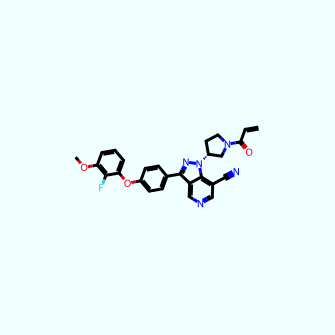 C=CC(=O)N1CC[C@@H](n2nc(-c3ccc(Oc4cccc(OC)c4F)cc3)c3cncc(C#N)c32)C1